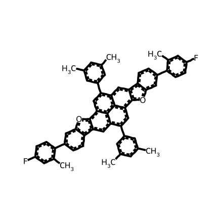 Cc1cc(C)cc(-c2cc3c4oc5cc(-c6ccc(F)cc6C)ccc5c4cc4c(-c5cc(C)cc(C)c5)cc5c6oc7cc(-c8ccc(F)cc8C)ccc7c6cc2c5c43)c1